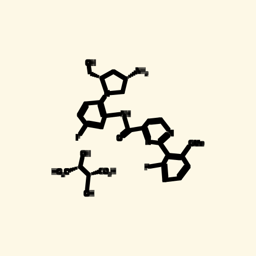 COc1cccc(F)c1-c1nccc(C(=O)Nc2cc(F)ccc2N2C[C@@H](N)C[C@H]2CO)n1.O=C(O)[C@H](O)[C@@H](O)C(=O)O